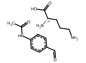 CC(=O)Nc1ccc(C=O)cc1.NCCC[C@H](N)C(=O)O